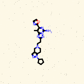 Cc1c(-c2ncco2)nc(N)n2nc(CCN3CCc4c(cnn4C4CCCC4)C3)nc12